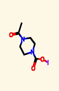 CC(=O)N1CCN(C(=O)OI)CC1